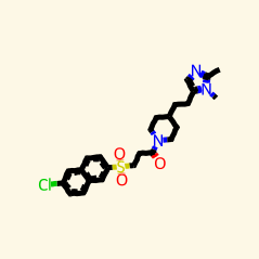 Cc1ncc(CCC2CCN(C(=O)CCS(=O)(=O)c3ccc4cc(Cl)ccc4c3)CC2)n1C